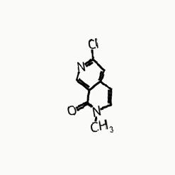 Cn1ccc2cc(Cl)ncc2c1=O